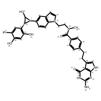 CC(C)c1cc([C@H]2C(O)N2c2ccc3c(ccn3CCN(C)C(=O)c3ccc(CCc4c[nH]c5nc(N)[nH]c(=O)c45)cc3)c2)c(O)cc1O